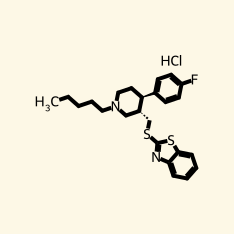 CCCCCN1CC[C@@H](c2ccc(F)cc2)[C@H](CSc2nc3ccccc3s2)C1.Cl